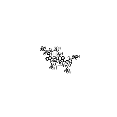 CC1(C)C(/C=C/C=C2/N(CCCS(=O)(=O)O)c3c(cc(-c4cc(C(=O)NCCS(=O)(=O)O)nc(C(=O)NCS(=O)(=O)O)c4)c4ccccc34)C2(C)C)=[N+](CCCS(=O)(=O)O)c2c1cc(-c1cc(C(=O)NCCS(=O)(=O)O)nc(C(=O)NCCS(=O)(=O)O)c1)c1ccccc21